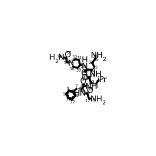 CC(C)C[C@@H](NC(=O)[C@@H](Cc1ccccc1)NC(=O)CN)C(=O)N[C@H](CCCN)C(=O)NC1CCN(CC(N)=O)CC1